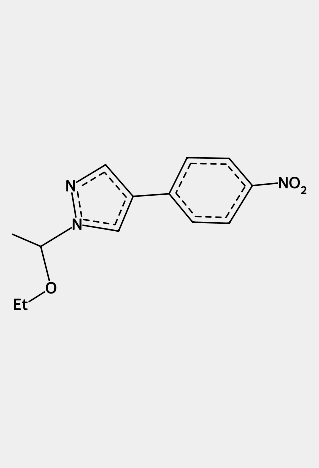 CCOC(C)n1cc(-c2ccc([N+](=O)[O-])cc2)cn1